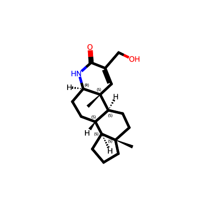 C[C@@]12CCC[C@H]1[C@@H]1CC[C@H]3NC(=O)C(CO)=C[C@]3(C)[C@H]1CC2